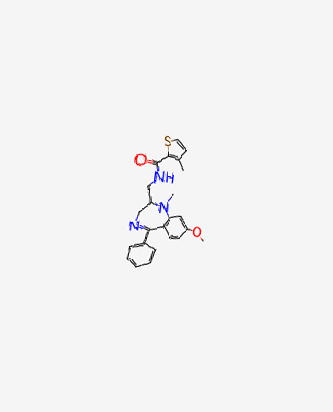 COc1ccc2c(c1)N(C)C(CNC(=O)c1sccc1C)CN=C2c1ccccc1